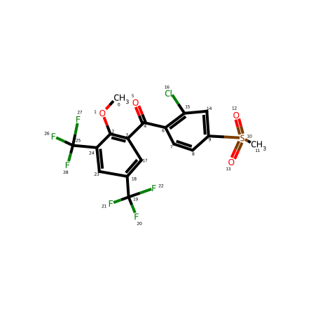 COc1c(C(=O)c2ccc(S(C)(=O)=O)cc2Cl)cc(C(F)(F)F)cc1C(F)(F)F